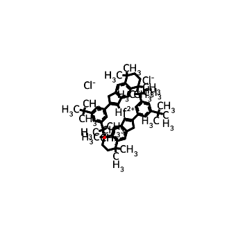 CC(C)(C)c1cc(C2=[C]([Hf+2][C]3=C(c4cc(C(C)(C)C)cc(C(C)(C)C)c4)Cc4cc5c(cc43)C(C)(C)CCC5(C)C)c3cc4c(cc3C2)C(C)(C)CCC4(C)C)cc(C(C)(C)C)c1.[Cl-].[Cl-]